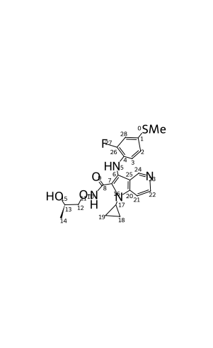 CSc1ccc(Nc2c(C(=O)NOC[C@@H](C)O)n(C3CC3)c3ccncc23)c(F)c1